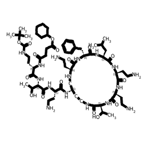 CC(C)C[C@@H]1NC(=O)[C@@H](Cc2ccccc2)NC(=O)[C@H](CCN)NC[C@@H](NC(=O)[C@H](CCN)NC(=O)[C@@H](NC(=O)[C@H](CCNC(=O)OC(C)(C)C)NC(=O)CCC(=O)OC2CCCCC2)C(C)O)CCNC(=O)[C@H](C(C)O)NC(=O)[C@H](CCN)NC(=O)[C@H](CCN)NC1=O